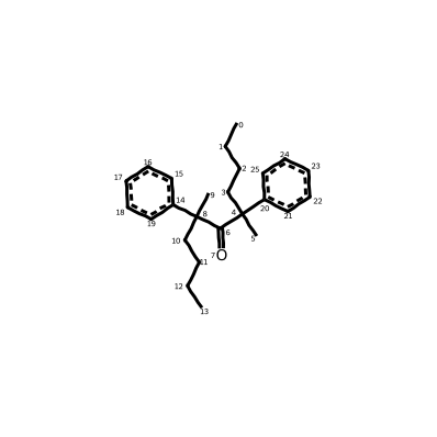 CCCCC(C)(C(=O)C(C)(CCCC)c1ccccc1)c1ccccc1